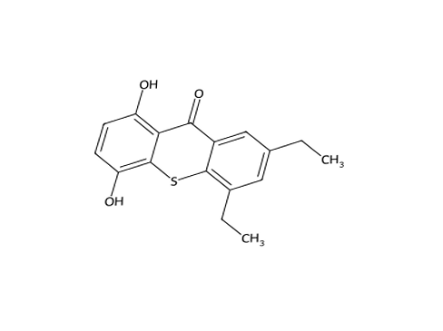 CCc1cc(CC)c2sc3c(O)ccc(O)c3c(=O)c2c1